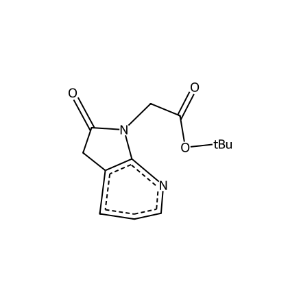 CC(C)(C)OC(=O)CN1C(=O)Cc2cccnc21